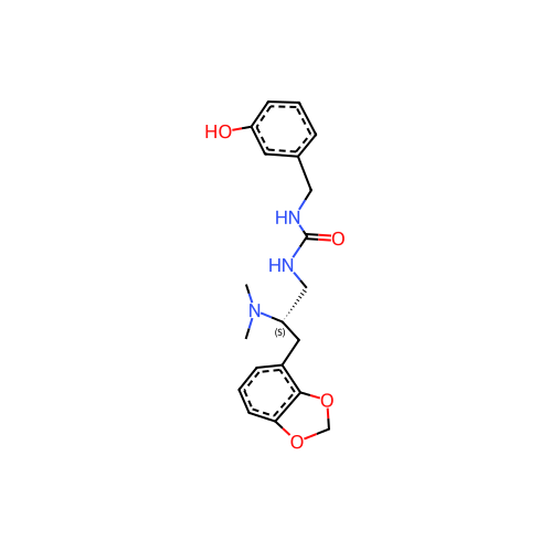 CN(C)[C@H](CNC(=O)NCc1cccc(O)c1)Cc1cccc2c1OCO2